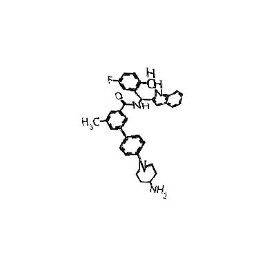 Cc1cc(C(=O)NC(c2cc3ccccc3[nH]2)c2cc(F)ccc2O)cc(-c2ccc(N3CCC(N)CC3)cc2)c1